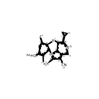 COc1cc(F)c(C)c(-n2c(N)c(C#N)c3cnc(C4CC4)c(Br)c32)c1C